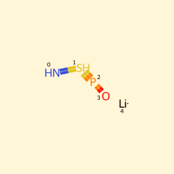 N=[SH]#P=O.[Li]